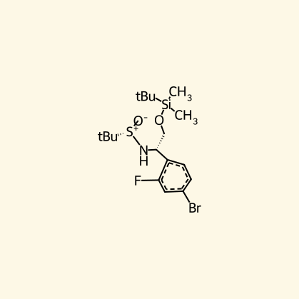 CC(C)(C)[S@+]([O-])N[C@H](CO[Si](C)(C)C(C)(C)C)c1ccc(Br)cc1F